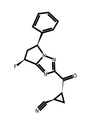 N#C[C@@H]1C[C@H]1C(=O)c1nc2n(n1)[C@H](c1ccccc1)C[C@@H]2F